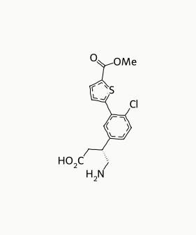 COC(=O)c1ccc(-c2cc([C@H](CN)CC(=O)O)ccc2Cl)s1